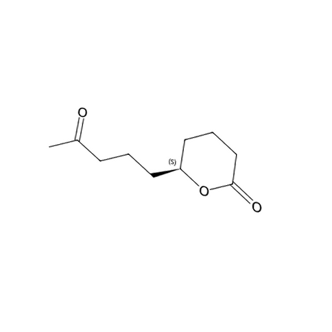 CC(=O)CCC[C@H]1CCCC(=O)O1